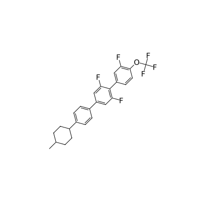 CC1CCC(c2ccc(-c3cc(F)c(-c4ccc(OC(F)(F)F)c(F)c4)c(F)c3)cc2)CC1